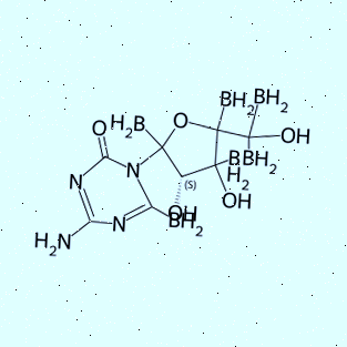 Bc1nc(N)nc(=O)n1C1(B)OC(B)(C(B)(B)O)C(B)(O)[C@@H]1O